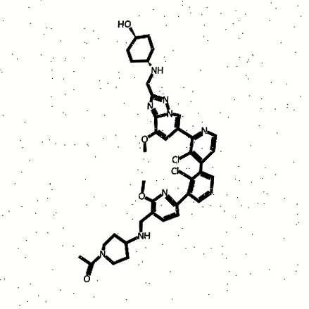 COc1nc(-c2cccc(-c3ccnc(-c4cc(OC)c5nc(CN[C@H]6CC[C@H](O)CC6)nn5c4)c3Cl)c2Cl)ccc1CNC1CCN(C(C)=O)CC1